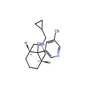 COC1(c2cncc(C#N)c2)[C@@H]2CCC[C@H]1CN(CC1CC1)C2